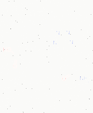 NC(=O)CSc1nnnn1-c1ccc(C(=O)O)cc1